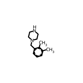 Cc1cccc(CN2CCNCC2)c1C